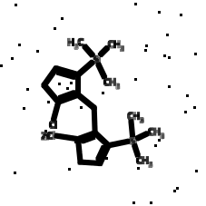 C[Si](C)(C)C1=CCC(Cl)=C1CC1=C(Cl)CC=C1[Si](C)(C)C.[Zr]